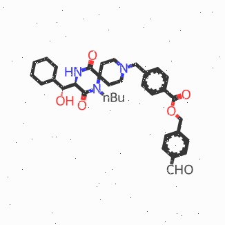 CCCCN1C(=O)[C@@H]([C@H](O)C2CCCCC2)NC(=O)C12CCN(Cc1ccc(C(=O)OCc3ccc(C=O)cc3)cc1)CC2